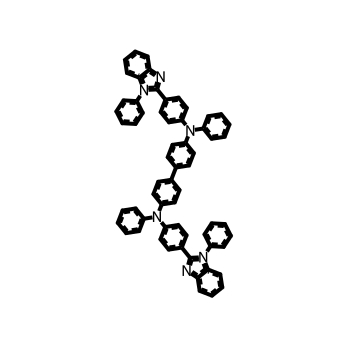 c1ccc(N(c2ccc(-c3ccc(N(c4ccccc4)c4ccc(-c5nc6ccccc6n5-c5ccccc5)cc4)cc3)cc2)c2ccc(-c3nc4ccccc4n3-c3ccccc3)cc2)cc1